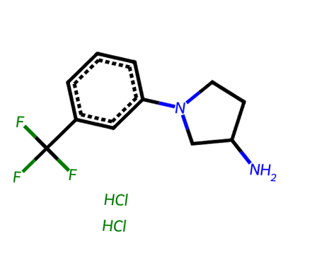 Cl.Cl.NC1CCN(c2cccc(C(F)(F)F)c2)C1